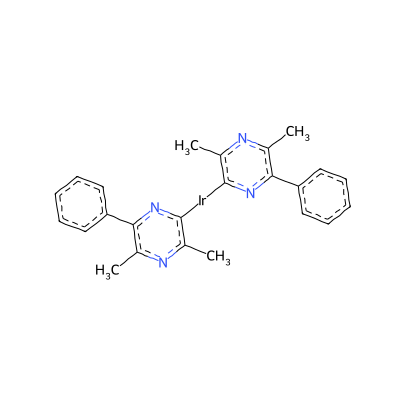 Cc1nc(C)c(-c2ccccc2)n[c]1[Ir][c]1nc(-c2ccccc2)c(C)nc1C